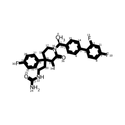 C[C@@H](c1ccc(-c2ccc(F)cc2F)cc1)N1CCC(CCNC(N)=O)(c2ccc(F)cc2)C(I)C1=O